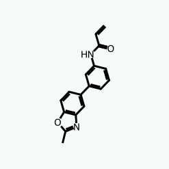 C=CC(=O)Nc1cccc(-c2ccc3oc(C)nc3c2)c1